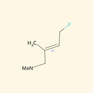 CNC/C(C)=C/CF